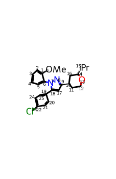 COc1ccccc1-n1nc([C@@H]2CCO[C@H](C(C)C)C2)cc1-c1ccc(Cl)cc1